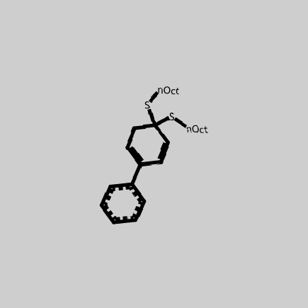 CCCCCCCCSC1(SCCCCCCCC)C=CC(c2ccccc2)=CC1